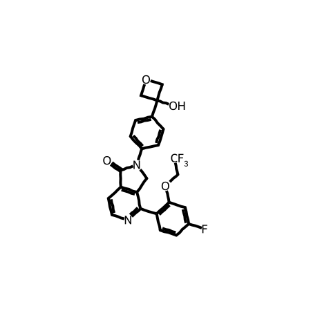 O=C1c2ccnc(-c3ccc(F)cc3OCC(F)(F)F)c2CN1c1ccc(C2(O)COC2)cc1